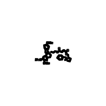 COc1ccc(CC2c3cc(OC)c(OC)cc3CC[N+]2(C)CCCOC(=O)C=CC(=O)OCC2CCC[N+]2(C)Cc2ccccc2)cc1